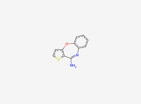 NC1=Nc2ccccc2Oc2ccsc21